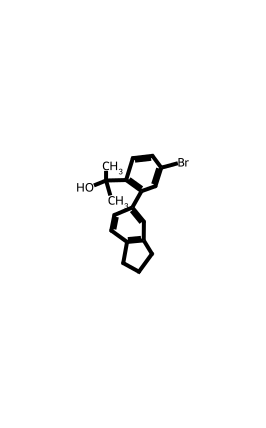 CC(C)(O)c1ccc(Br)cc1-c1ccc2c(c1)CCC2